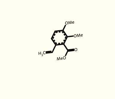 C=Cc1ccc(OC)c(OC)c1C(=O)OC